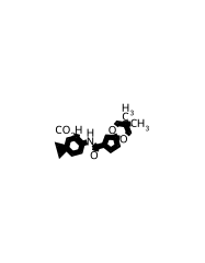 CC1(C)COC2(CCC(C(=O)NC3=C(C(=O)O)CC4(CC3)CC4)C2)OC1